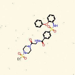 CCS(=O)(=O)N1CCN(C(=O)CNC(=O)c2ccc(S(=O)(=O)Nc3ccccc3Oc3ccccc3)cc2)CC1